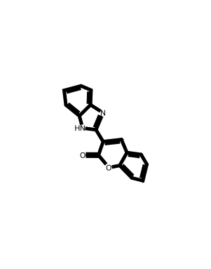 O=c1oc2c[c]ccc2[c]c1-c1nc2ccccc2[nH]1